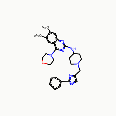 COc1cc2nc(NC3CCN(Cc4c[nH]c(-c5ccccc5)n4)CC3)nc(N3CCOCC3)c2cc1OC